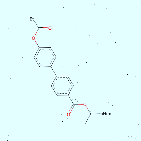 CCCCCCC(C)OC(=O)c1ccc(-c2ccc(OC(=O)CC)cc2)cc1